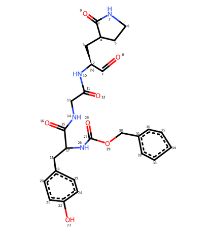 O=C[C@H](CC1CCNC1=O)NC(=O)CNC(=O)C(Cc1ccc(O)cc1)NC(=O)OCc1ccccc1